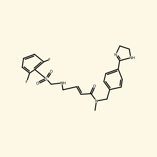 CN(Cc1ccc(C2=NCCN2)cc1)C(=O)C=CCNCS(=O)(=O)c1c(F)cccc1F